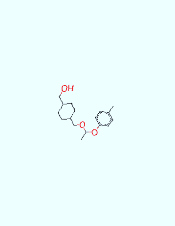 Cc1ccc(OC(C)OCC2CCC(CO)CC2)cc1